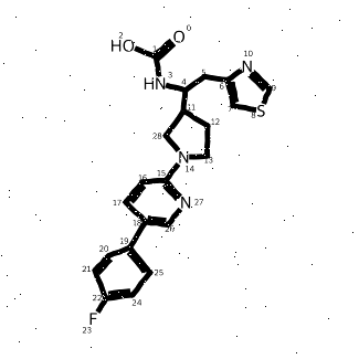 O=C(O)NC(Cc1cscn1)C1CCN(c2ccc(-c3ccc(F)cc3)cn2)C1